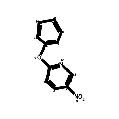 O=[N+]([O-])c1ccc(Oc2ccccc2)nc1